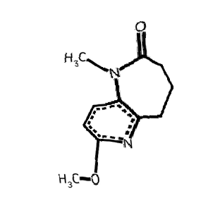 COc1ccc2c(n1)CCCC(=O)N2C